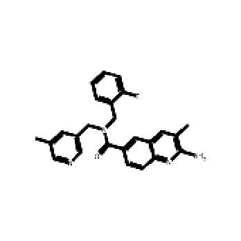 Cc1cncc(CN(Cc2ccccc2F)C(=O)c2ccc3nc(N)c(C)cc3c2)c1